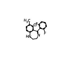 Cc1ccc2c(c1Cl)C(c1c(F)cccc1F)=NCCN2